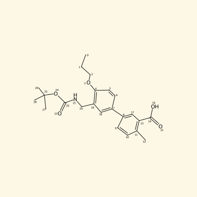 CCCOc1ccc(-c2ccc(C)c(C(=O)O)c2)cc1CNC(=O)OC(C)(C)C